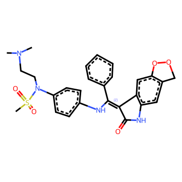 CN(C)CCN(c1ccc(N/C(=C2\C(=O)Nc3cc4c(cc32)OOC4)c2ccccc2)cc1)S(C)(=O)=O